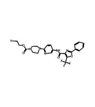 O=C(Nc1ccc(N2CCN(C(=O)OCCF)CC2)nc1)c1nc(-c2ccccc2)oc1C(F)(F)F